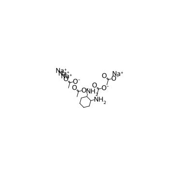 CC(=O)[O-].CC(=O)[O-].CC(=O)[O-].CC(=O)[O-].NC1CCCCC1N.[Na+].[Na+].[Na+].[Na+]